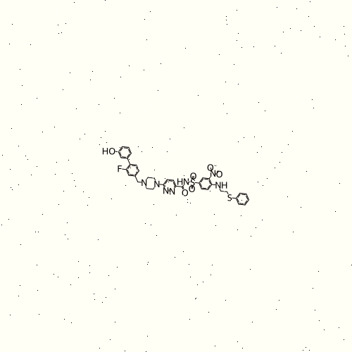 O=C(NS(=O)(=O)c1ccc(NCCSc2ccccc2)c([N+](=O)[O-])c1)c1ccc(N2CCN(Cc3ccc(-c4cccc(O)c4)c(F)c3)CC2)nn1